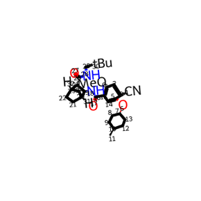 COc1cc(C#N)c(O[C@H]2CC[C@H](C)CC2)cc1C(=O)N[C@@H]1[C@@H]2CC[C@@H](C2)[C@@H]1C(=O)NCC(C)(C)C